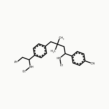 CCNC(CC(C)C)c1ccc(CC(C)(C)CC(NCC)c2ccc(C#N)cc2)cc1